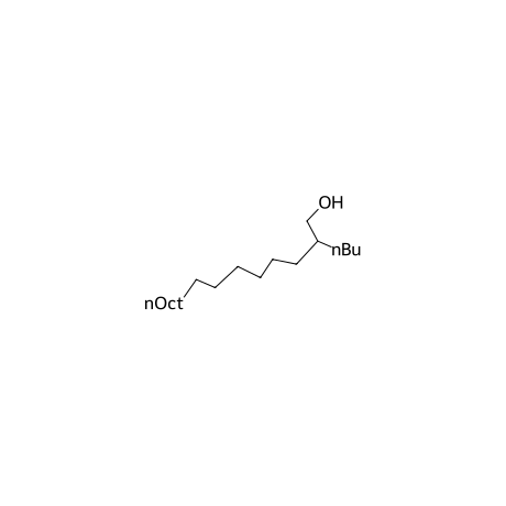 CCCCCCCCCCCCCCC(CO)CCCC